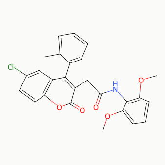 COc1cccc(OC)c1NC(=O)Cc1c(-c2ccccc2C)c2cc(Cl)ccc2oc1=O